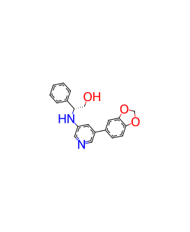 OC[C@H](Nc1cncc(-c2ccc3c(c2)OCO3)c1)c1ccccc1